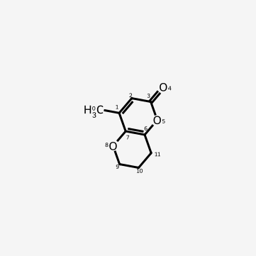 Cc1cc(=O)oc2c1OCCC2